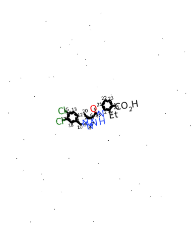 CCc1c(NC(=O)c2nnn(Cc3ccc(Cl)c(Cl)c3)c2C)cccc1C(=O)O